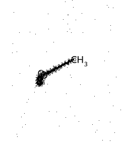 CCCCCCCCCCCCCCCCCCOC(=O)c1ccc2ccccc2c1